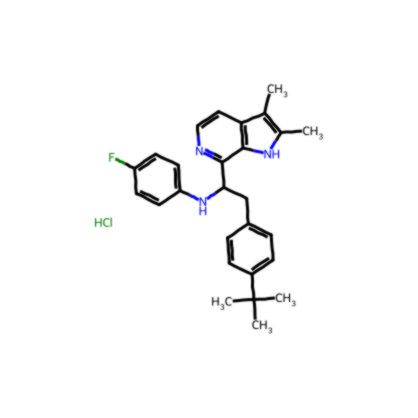 Cc1[nH]c2c(C(Cc3ccc(C(C)(C)C)cc3)Nc3ccc(F)cc3)nccc2c1C.Cl